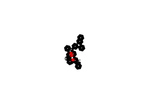 c1cc(-c2ccccc2-c2ccc3ccccc3c2)cc(N(c2ccc(-c3ccc4c(c3)sc3ccccc34)cc2)c2ccccc2-c2ccc3c(c2)oc2ccccc23)c1